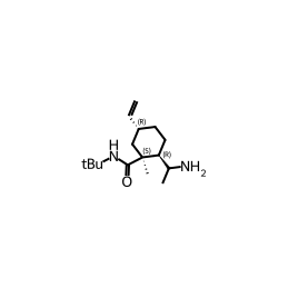 C=C[C@@H]1CC[C@@H](C(C)N)[C@@](C)(C(=O)NC(C)(C)C)C1